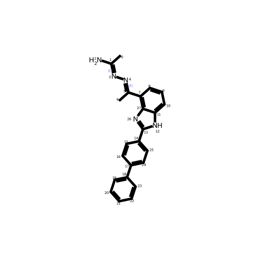 C/C(N)=N\N=C(/C)c1cccc2[nH]c(-c3ccc(-c4ccccc4)cc3)nc12